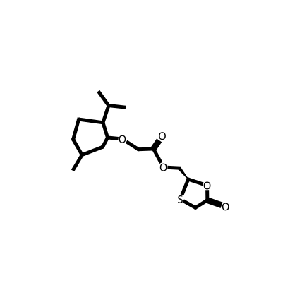 CC1CCC(C(C)C)C(OCC(=O)OC[C@H]2OC(=O)CS2)C1